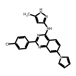 Cc1cc(Nc2nc(-c3ccc(Cl)cc3)nc3cc(-n4cccc4)ccc23)n[nH]1